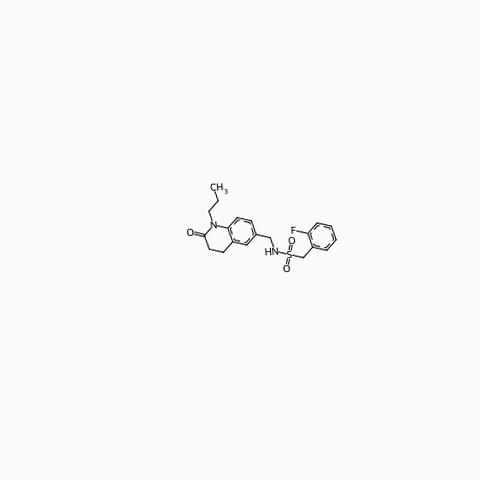 CCCN1C(=O)CCc2cc(CNS(=O)(=O)Cc3ccccc3F)ccc21